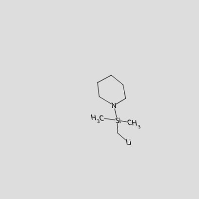 [Li][CH2][Si](C)(C)N1CCCCC1